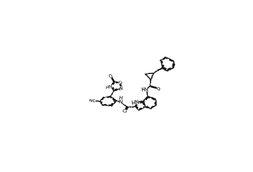 N#Cc1ccc(NC(=O)c2cc3cccc(NC(=O)C4CC4c4ccccc4)c3[nH]2)c(-c2noc(=O)[nH]2)c1